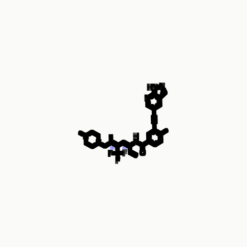 C=C/C(=C\C(=C(/C)CN1CCN(C)CC1)C(F)(F)F)NC(=O)c1ccc(C)c(C#Cc2cnc3[nH]ncc3c2)c1